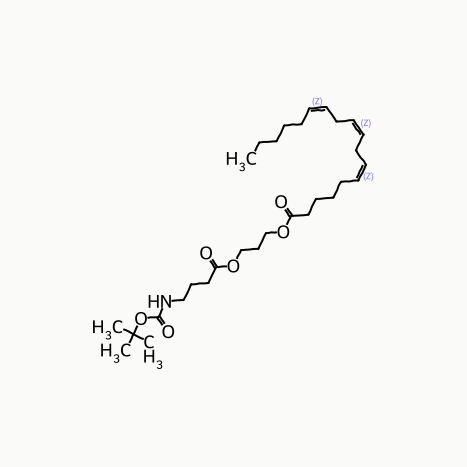 CCCCC/C=C\C/C=C\C/C=C\CCCCC(=O)OCCCOC(=O)CCCNC(=O)OC(C)(C)C